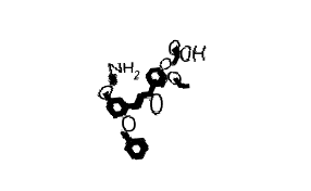 CCOc1cc(C(=O)C=Cc2cc(OCCN)ccc2OCc2ccccc2)ccc1OCC(=O)O